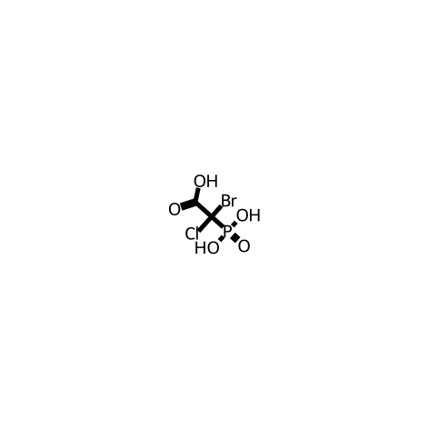 O=C(O)C(Cl)(Br)P(=O)(O)O